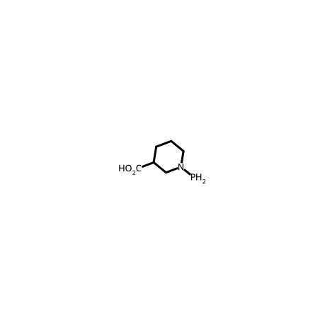 O=C(O)C1CCCN(P)C1